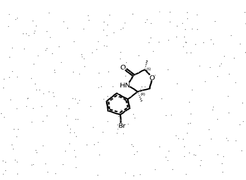 C[C@@H]1OC[C@@](C)(c2cccc(Br)c2)NC1=O